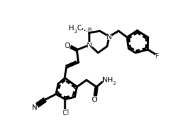 C[C@@H]1CN(Cc2ccc(F)cc2)CCN1C(=O)C=Cc1cc(C#N)c(Cl)cc1CC(N)=O